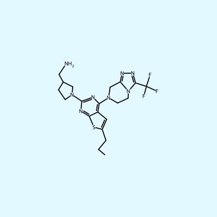 CCCc1cc2c(N3CCn4c(nnc4C(F)(F)F)C3)nc(N3CCC(CN)C3)nc2s1